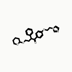 O=C(c1ccc(OCCn2ccnc2)cc1)C(CCOC1CCCCO1)c1ccccc1